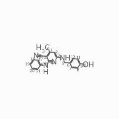 Cc1cc(NCc2ccc(O)cc2)nc(Nc2ccccc2)c1C#N